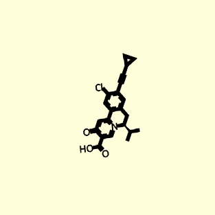 CC(C)[C@@H]1Cc2cc(C#CC3CC3)c(Cl)cc2-c2cc(=O)c(C(=O)O)cn21